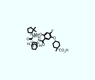 COc1cc(F)c(O[C@H]2CC[C@@](C)(C(=O)O)CC2)cc1C(=O)N[C@@H]1[C@H]2CC[C@H](C2)[C@@H]1C(=O)N[C@H]1CCCC1(C)C